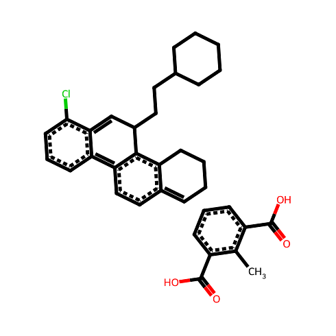 Cc1c(C(=O)O)cccc1C(=O)O.Clc1cccc2c1=CC(CCC1CCCCC1)c1c3c(ccc1=2)=CCCC3